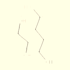 CCCCCC.OCCO